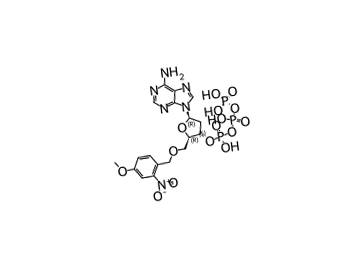 COc1ccc(COC[C@H]2O[C@@H](n3cnc4c(N)ncnc43)C[C@@H]2OP(=O)(O)OP(=O)(O)OP(=O)(O)O)c([N+](=O)[O-])c1